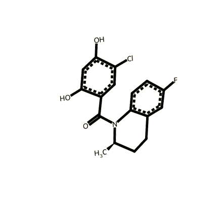 C[C@@H]1CCc2cc(F)ccc2N1C(=O)c1cc(Cl)c(O)cc1O